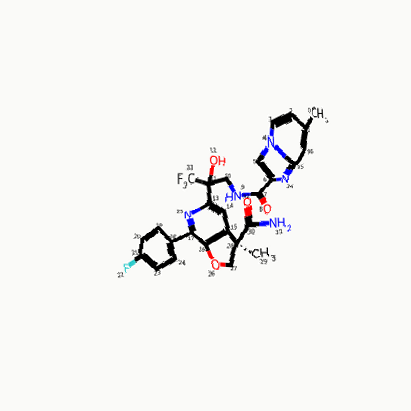 Cc1ccn2cc(C(=O)NCC(O)(c3cc4c(c(-c5ccc(F)cc5)n3)OC[C@]4(C)C(N)=O)C(F)(F)F)nc2c1